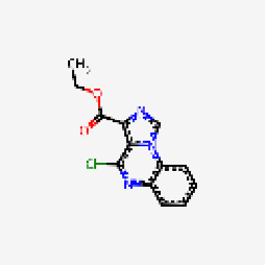 CCOC(=O)c1ncn2c1c(Cl)nc1ccccc12